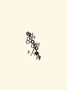 Cn1c(-c2cn(C3CC3(F)F)nc2C(F)(F)F)cnc1C(=O)Nc1ccc(C(=O)NC2CC3CCC(C2)N3)c(Cl)c1